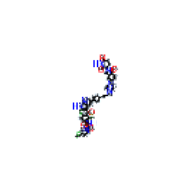 O=C1CCC(N2Cc3cc(N4CCN(CC#Cc5ccc(-c6cnc7[nH]cc(C(=O)c8c(F)ccc(NS(=O)(=O)N9CC[C@@H](F)C9)c8F)c7c6)cc5)CC4)ccc3C2=O)C(=O)N1